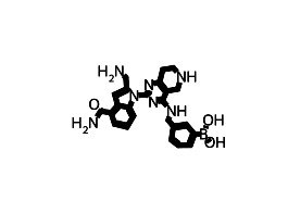 NCc1cc2c(C(N)=O)cccc2n1-c1nc2c(c(NCc3cccc(B(O)O)c3)n1)CNCC2